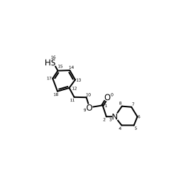 O=C(CN1CCCCC1)OCCc1ccc(S)cc1